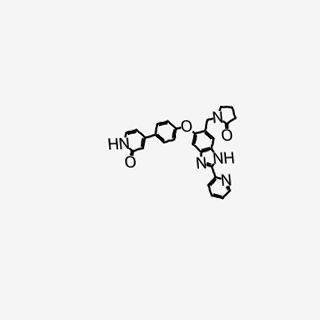 O=C1CCCN1Cc1cc2[nH]c(-c3ccccn3)nc2cc1Oc1ccc(-c2cc[nH]c(=O)c2)cc1